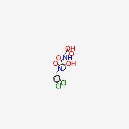 O=C(O)CNC(=O)C1=C(O)CCN(Cc2ccc(Cl)c(Cl)c2)C1=O